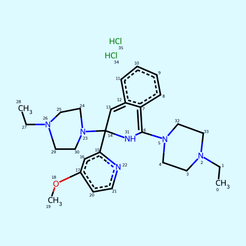 CCN1CCN(C2=c3ccccc3=CC(c3cc(OC)ccn3)(N3CCN(CC)CC3)N2)CC1.Cl.Cl